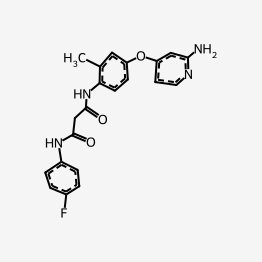 Cc1cc(Oc2ccnc(N)c2)ccc1NC(=O)CC(=O)Nc1ccc(F)cc1